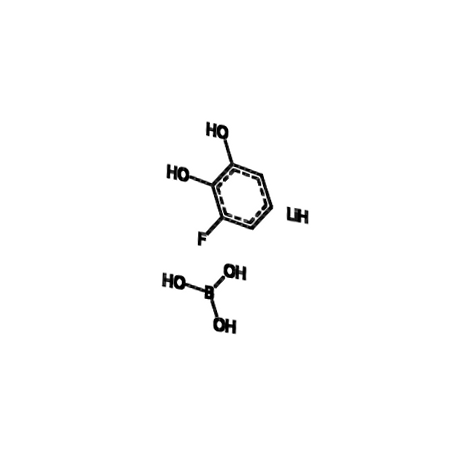 OB(O)O.Oc1cccc(F)c1O.[LiH]